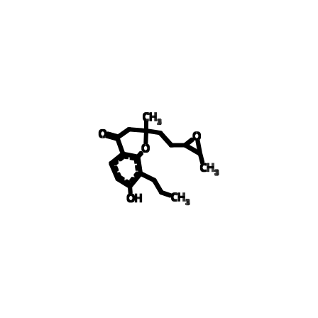 CCCc1c(O)ccc2c1OC(C)(CCC1OC1C)CC2=O